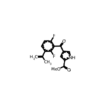 C=C(C)c1ccc(F)c(C(=O)c2c[nH]c(C(=O)OC)c2)c1F